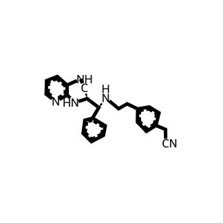 N#CCc1ccc(CCN[C@H](c2ccccc2)[C@H]2CNc3cccnc3N2)cc1